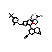 CC(C)(C)c1cnn(Cc2cc3nccc(-c4cc(C#N)cc5c4N([C@H]4C[C@H](CO)N(C(=O)O)C4)CC4CC54)c3s2)c(=O)c1